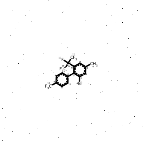 Cc1[c]c(Br)c(-c2ccc(C(F)(F)F)cc2)c(C(F)(C(F)(F)F)C(F)(F)F)c1